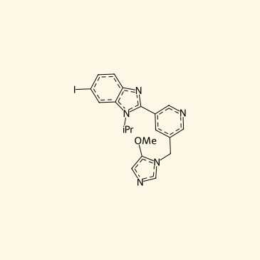 COc1cncn1Cc1cncc(-c2nc3ccc(I)cc3n2C(C)C)c1